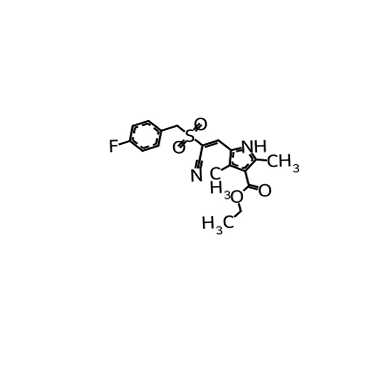 CCOC(=O)c1c(C)[nH]c(/C=C(\C#N)S(=O)(=O)Cc2ccc(F)cc2)c1C